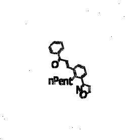 CCCCCc1c(C=CC(=O)c2ccccc2)cccc1-c1ccon1